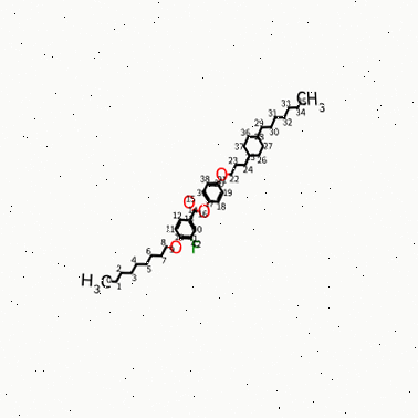 CCCCCCCCCOc1ccc(C(=O)Oc2ccc(OCCCC3CCC(CCCCCCC)CC3)cc2)cc1F